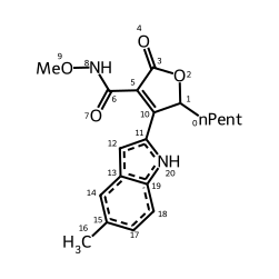 CCCCCC1OC(=O)C(C(=O)NOC)=C1c1cc2cc(C)ccc2[nH]1